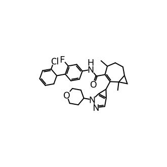 CC1CCC2CC2(C)C(C2c3cnn(C4CCOCC4)c32)=C1C(=O)Nc1ccc(C2CC=CC=C2Cl)c(F)c1